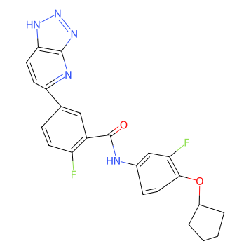 O=C(Nc1ccc(OC2CCCC2)c(F)c1)c1cc(-c2ccc3[nH]nnc3n2)ccc1F